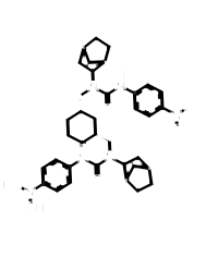 CN(C)c1ccc(NC(=O)N(C[C@H]2CCC[C@H](CN(C(=O)Nc3ccc(N(C)C)cc3)C3CC4CCC3C4)C2)C2CC3CCC2C3)cc1